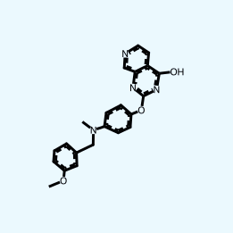 COc1cccc(CN(C)c2ccc(Oc3nc(O)c4ccncc4n3)cc2)c1